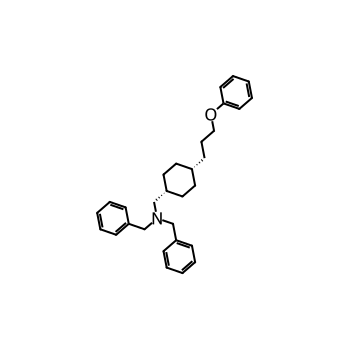 c1ccc(CN(Cc2ccccc2)C[C@H]2CC[C@@H](CCCOc3ccccc3)CC2)cc1